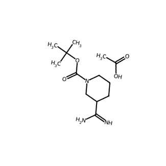 CC(=O)O.CC(C)(C)OC(=O)N1CCCC(C(=N)N)C1